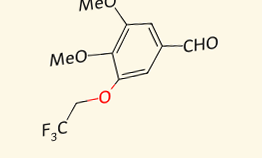 COc1cc(C=O)cc(OCC(F)(F)F)c1OC